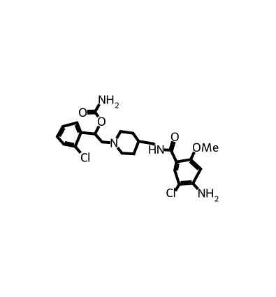 COc1cc(N)c(Cl)cc1C(=O)NCC1CCN(CC(OC(N)=O)c2ccccc2Cl)CC1